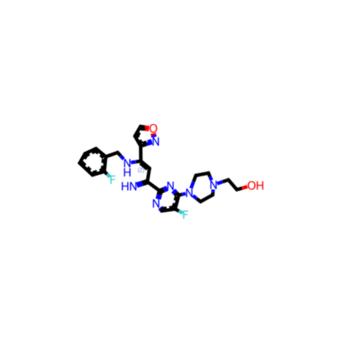 N=C(/C=C(\NCc1ccccc1F)c1ccon1)c1ncc(F)c(N2CCN(CCO)CC2)n1